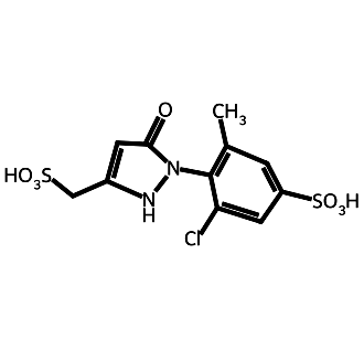 Cc1cc(S(=O)(=O)O)cc(Cl)c1-n1[nH]c(CS(=O)(=O)O)cc1=O